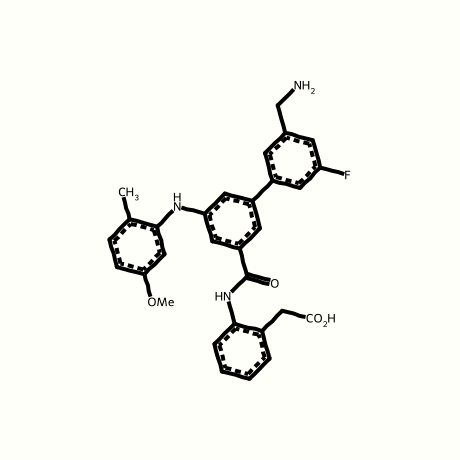 COc1ccc(C)c(Nc2cc(C(=O)Nc3ccccc3CC(=O)O)cc(-c3cc(F)cc(CN)c3)c2)c1